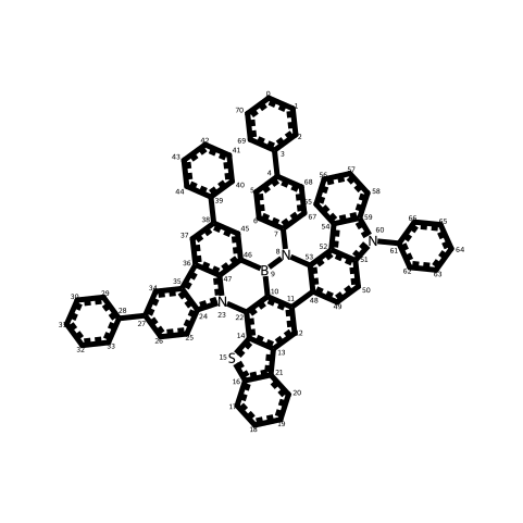 c1ccc(-c2ccc(N3B4c5c(cc6c(sc7ccccc76)c5-n5c6ccc(-c7ccccc7)cc6c6cc(-c7ccccc7)cc4c65)-c4ccc5c(c43)c3ccccc3n5-c3ccccc3)cc2)cc1